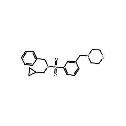 O=S(=O)(c1cccc(CN2CCSCC2)c1)N(Cc1ccccc1)CC1CC1